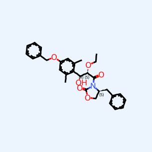 CCO[C@H](C(=O)N1C(=O)OC[C@@H]1Cc1ccccc1)[C@H](O)c1c(C)cc(OCc2ccccc2)cc1C